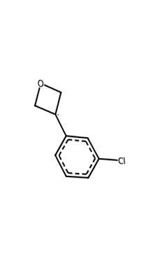 Clc1cccc([C]2COC2)c1